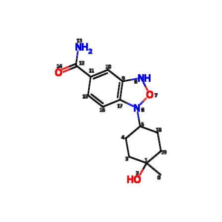 CC1(O)CCC(N2ONc3cc(C(N)=O)ccc32)CC1